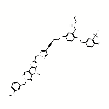 COc1cccc(Cn2ncc3c4sc(Cn5cc(C#CCCOc6ccc(OCc7ccc(F)c(C(F)(F)F)c7)c(CNCCO)c6)cn5)nc4n(C)c3c2=O)c1